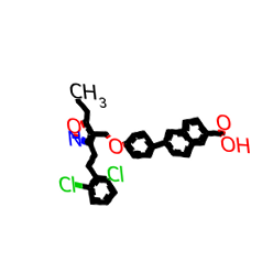 CCCc1onc(CCc2c(Cl)cccc2Cl)c1COc1ccc(-c2ccc3cc(C(=O)O)ccc3c2)cc1